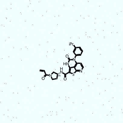 C=CC(=O)N1CC[C@@H](NC(=O)c2sc3nccc4c3c2NC(=O)N4c2cccc(C(C)C)c2)C1